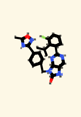 Cc1nc(-c2ccc(Cn3c(=O)[nH]c4cnc(-c5cccc(F)c5C(C)C)nc43)cc2)no1